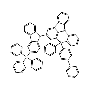 c1ccc(-c2ccc(S3(c4ccccc4)c4ccccc4-n4c5ccccc5c5cc(-n6c7ccccc7c7cc(S(c8ccccc8)(c8ccccc8)c8ccccc8)ccc76)cc3c54)cc2)cc1